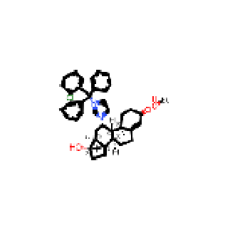 CCO.C[C@]12CC[C@H]3[C@@H](CCC4=CC(=O)CC[C@@]43C)[C@@H]1CC[C@@H]2O.Clc1ccccc1C(c1ccccc1)(c1ccccc1)n1ccnc1